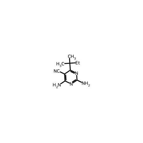 CCC(C)(C)c1nc(N)nc(N)c1C#N